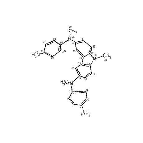 CN(c1ccc(N)cc1)c1ccc2c(c1)c1cc(N(C)c3ccc(N)cc3)ccc1n2C